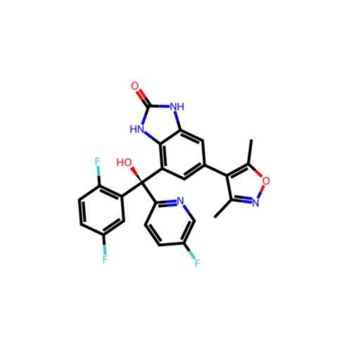 Cc1noc(C)c1-c1cc([C@](O)(c2ccc(F)cn2)c2cc(F)ccc2F)c2[nH]c(=O)[nH]c2c1